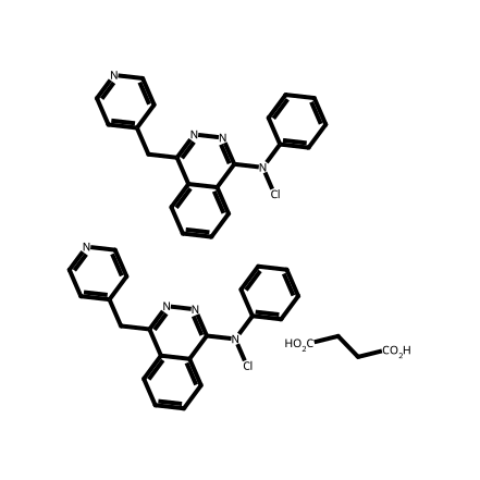 ClN(c1ccccc1)c1nnc(Cc2ccncc2)c2ccccc12.ClN(c1ccccc1)c1nnc(Cc2ccncc2)c2ccccc12.O=C(O)CCC(=O)O